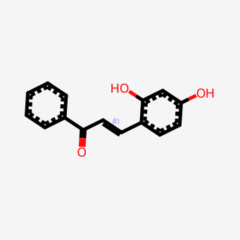 O=C(/C=C/c1ccc(O)cc1O)c1ccccc1